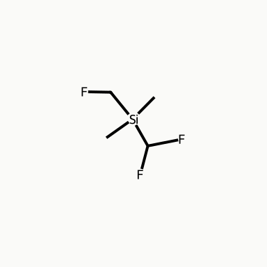 C[Si](C)(CF)C(F)F